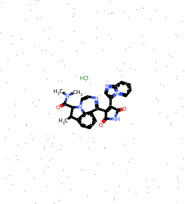 CC1c2cccc3c2N(C=CN=C3C2=C(c3cnc4ccccn34)C(=O)NC2=O)C1C(=O)N(C)C.Cl